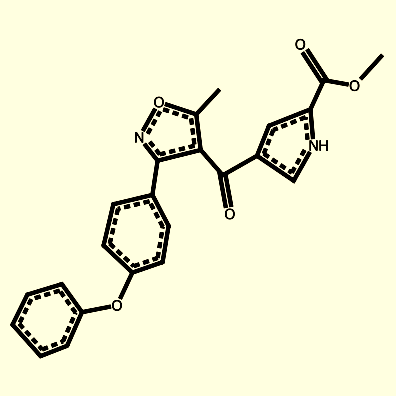 COC(=O)c1cc(C(=O)c2c(-c3ccc(Oc4ccccc4)cc3)noc2C)c[nH]1